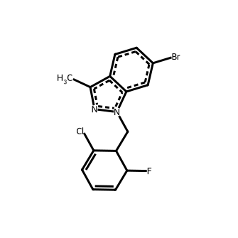 Cc1nn(CC2C(Cl)=CC=CC2F)c2cc(Br)ccc12